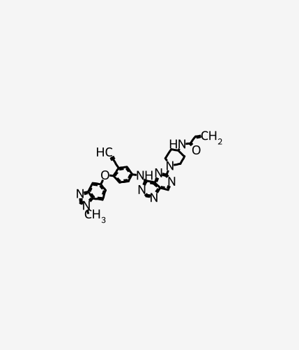 C#Cc1cc(Nc2ncnc3cnc(N4CCC(NC(=O)C=C)CC4)nc23)ccc1Oc1ccc2c(c1)ncn2C